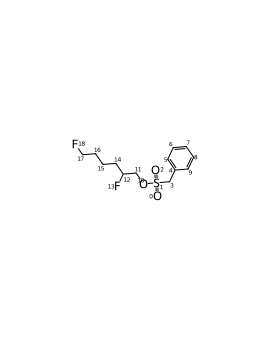 O=S(=O)(Cc1ccccc1)OCC(F)CCCCF